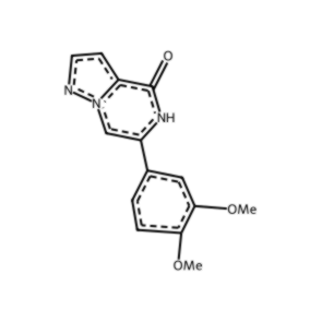 COc1ccc(-c2cn3nccc3c(=O)[nH]2)cc1OC